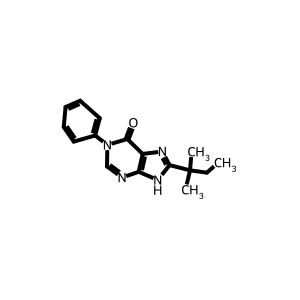 CCC(C)(C)c1nc2c(=O)n(-c3ccccc3)cnc2[nH]1